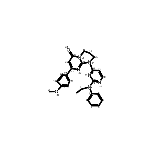 CCN(c1ccccc1)c1nccc(N2CCCn3c2nc(-c2ccc(OC)cc2)cc3=O)n1